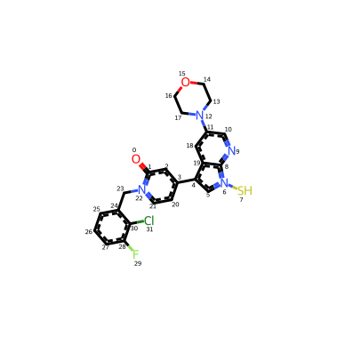 O=c1cc(-c2cn(S)c3ncc(N4CCOCC4)cc23)ccn1Cc1cccc(F)c1Cl